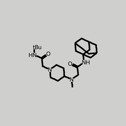 CN(CC(=O)NC12CC3CC(CC(C3)C1)C2)C1CCN(CC(=O)NC(C)(C)C)CC1